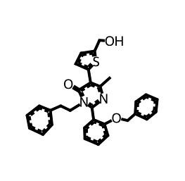 Cc1nc(-c2ccccc2OCc2ccccc2)n(CCc2ccccc2)c(=O)c1-c1ccc(CO)s1